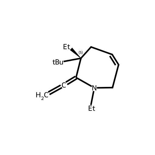 C=C=C1N(CC)CC=CC[C@@]1(CC)C(C)(C)C